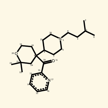 CC(C)CCN1CCC(C2(C(=O)c3ccccn3)CCOC(C)(C)C2)CC1